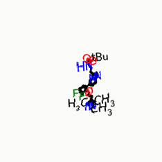 Cc1nn(C)c(C)c1CCOc1c(-c2ccc3ncc(CCNC(=O)OC(C)(C)C)n3c2)ccc(F)c1F